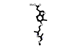 C=N/C=C(C)\N=C(\C)CCOc1ccc2c(CC(=O)OC)csc2c1C